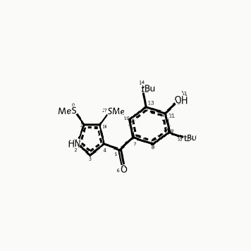 CSc1[nH]cc(C(=O)c2cc(C(C)(C)C)c(O)c(C(C)(C)C)c2)c1SC